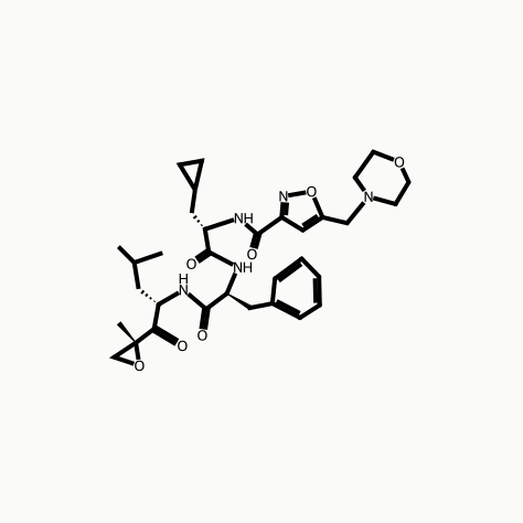 CC(C)C[C@H](NC(=O)[C@H](Cc1ccccc1)NC(=O)[C@H](CC1CC1)NC(=O)c1cc(CN2CCOCC2)on1)C(=O)[C@@]1(C)CO1